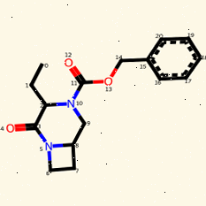 CCC1C(=O)N2CCC2CN1C(=O)OCc1ccccc1